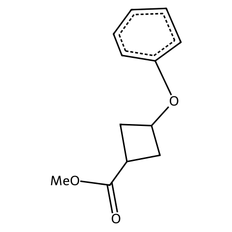 COC(=O)C1CC(Oc2ccccc2)C1